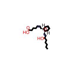 CCCCCC(O)/C=C/[C@H]1[C@@H](C/C=C\CCCC(=O)O)[C@@H]2C=C[C@H]1O2